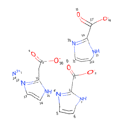 O=C([O-])c1ncc[nH]1.O=C([O-])c1ncc[nH]1.O=C([O-])c1ncc[nH]1.[N+3]